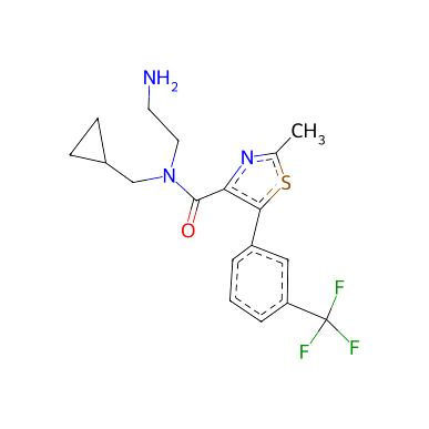 Cc1nc(C(=O)N(CCN)CC2CC2)c(-c2cccc(C(F)(F)F)c2)s1